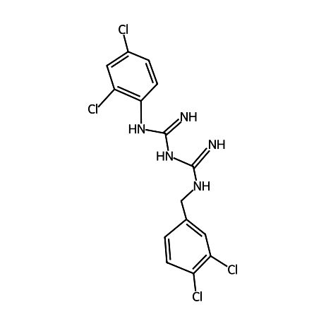 N=C(NCc1ccc(Cl)c(Cl)c1)NC(=N)Nc1ccc(Cl)cc1Cl